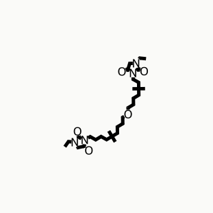 CCN1CC(=O)N(CCCCC(C)(C)CCCCOCCCCC(C)(C)CCN2C(=O)CN(CC)C2=O)C1=O